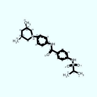 CC(C)S(=O)(=O)Nc1ccc(C(=O)Nc2ccc(N3C[C@H](C)C[C@H](C)C3)cc2)cc1